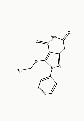 CCSc1c2c(nn1-c1ccccc1)CC(=O)NC2=O